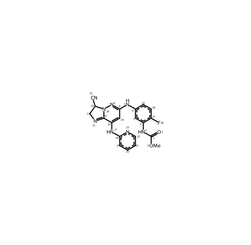 COC(=O)Nc1cc(NC2=NN3C(=NCC3C#N)C(Nc3ccccn3)=C2)ccc1F